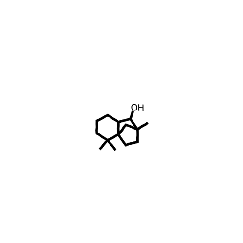 CC12CCC3(C1)C(CCCC3(C)C)C2O